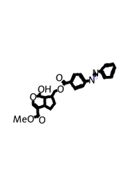 COC(=O)C1=COC(O)C2C(COC(=O)c3ccc(/N=N/c4ccccc4)cc3)CCC12